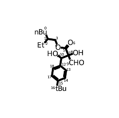 CCCCC(CC)COC(=O)C(O)(C=O)C(O)c1ccc(C(C)(C)C)cc1